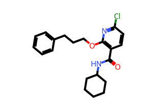 O=C(NC1CCCCC1)c1ccc(Cl)nc1OCCCc1ccccc1